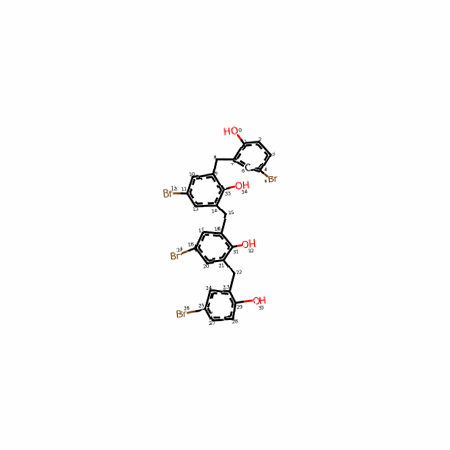 Oc1ccc(Br)cc1Cc1cc(Br)cc(Cc2cc(Br)cc(Cc3cc(Br)ccc3O)c2O)c1O